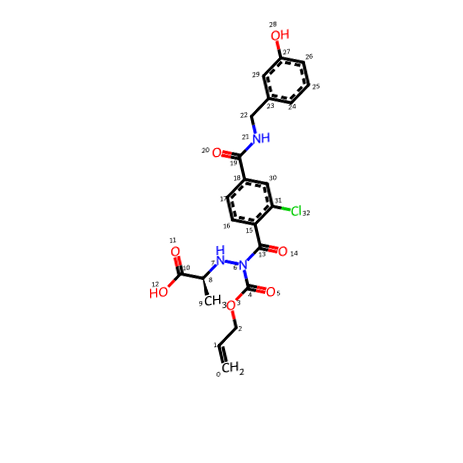 C=CCOC(=O)N(N[C@@H](C)C(=O)O)C(=O)c1ccc(C(=O)NCc2cccc(O)c2)cc1Cl